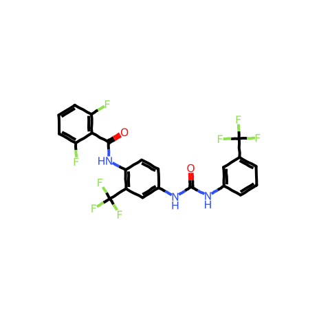 O=C(Nc1cccc(C(F)(F)F)c1)Nc1ccc(NC(=O)c2c(F)cccc2F)c(C(F)(F)F)c1